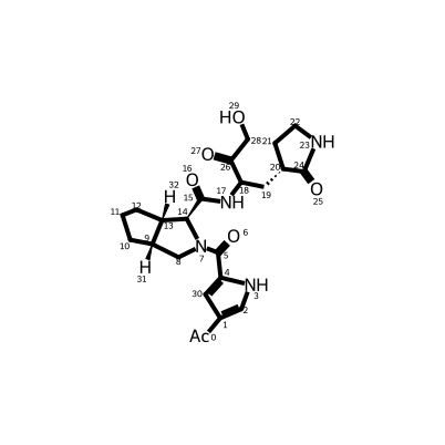 CC(=O)c1c[nH]c(C(=O)N2C[C@@H]3CCC[C@@H]3[C@H]2C(=O)NC(C[C@@H]2CCNC2=O)C(=O)CO)c1